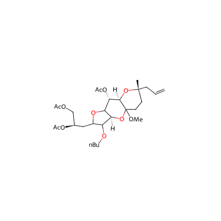 C=CC[C@]1(C)CCC2(OC)O[C@H]3C(OCCCC)C(C[C@H](COC(C)=O)OC(C)=O)OC3[C@H](OC(C)=O)[C@H]2O1